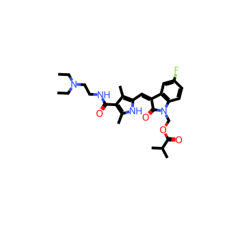 CCN(CC)CCNC(=O)c1c(C)[nH]c(/C=C2\C(=O)N(COC(=O)C(C)C)c3ccc(F)cc32)c1C